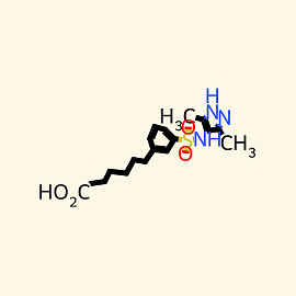 Cc1n[nH]c(C)c1NS(=O)(=O)c1cccc(CCCCCCC(=O)O)c1